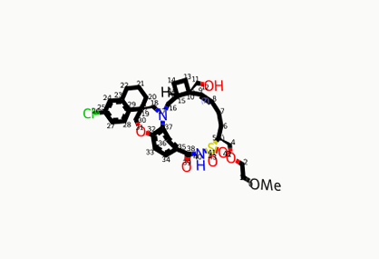 COCCOC[C@@H]1CC/C=C\[C@@]2(CO)CC[C@H]2CN2C[C@@]3(CCCc4cc(Cl)ccc43)COc3ccc(cc32)C(=O)NS1(=O)=O